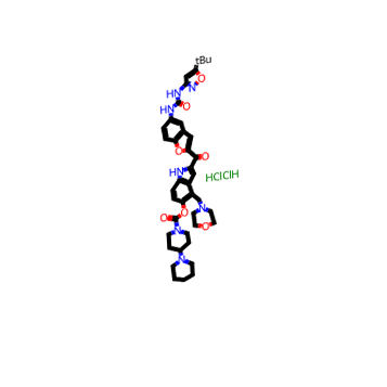 CC(C)(C)c1cc(NC(=O)Nc2ccc3oc(C(=O)c4cc5c(CN6CCOCC6)c(OC(=O)N6CCC(N7CCCCC7)CC6)ccc5[nH]4)cc3c2)no1.Cl.Cl